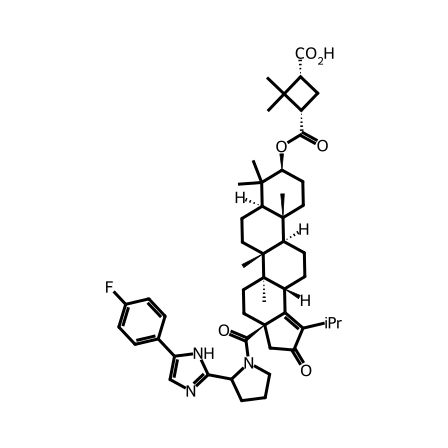 CC(C)C1=C2[C@H]3CC[C@@H]4[C@@]5(C)CC[C@H](OC(=O)[C@H]6C[C@@H](C(=O)O)C6(C)C)C(C)(C)[C@@H]5CC[C@@]4(C)[C@]3(C)CC[C@@]2(C(=O)N2CCCC2c2ncc(-c3ccc(F)cc3)[nH]2)CC1=O